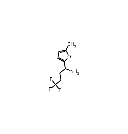 Cc1ccc(C(N)CCC(F)(F)F)o1